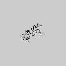 CNC(=O)[C@@H]1C[C@@H](O)CN1C(=O)[C@@H](n1cc(-c2cccnc2C(=O)OC)nn1)C(C)(C)C